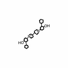 Oc1ccc(-[n+]2ccc(-c3cc[n+](-c4ccc(O)c(-c5ccccc5)c4)cc3)cc2)cc1-c1ccccc1